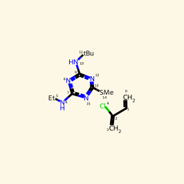 C=CC(=C)Cl.CCNc1nc(NC(C)(C)C)nc(SC)n1